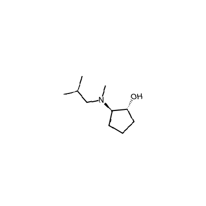 CC(C)CN(C)[C@@H]1CCC[C@H]1O